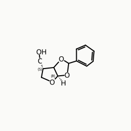 OC[C@H]1CO[C@@H]2OC(c3ccccc3)OC12